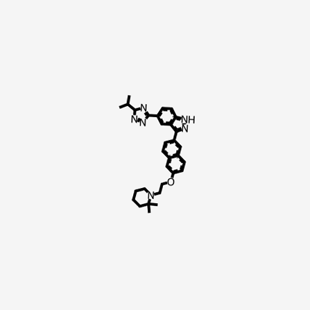 CC(C)C1N=NC(c2ccc3[nH]nc(-c4ccc5cc(OCCN6CCCCC6(C)C)ccc5c4)c3c2)=N1